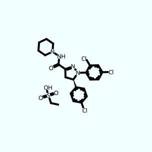 CCS(=O)(=O)O.O=C(NN1CCCCC1)C1=NN(c2ccc(Cl)cc2Cl)[C@@H](c2ccc(Cl)cc2)C1